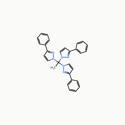 CC(n1ccc(-c2ccccc2)n1)(n1ccc(-c2ccccc2)n1)n1ccc(-c2ccccc2)n1